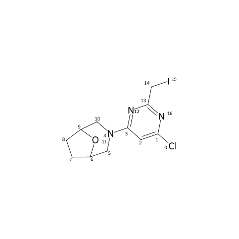 Clc1cc(N2CC3CCC(C2)O3)nc(CI)n1